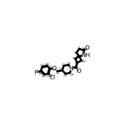 O=C1CCC2(CC(C(=O)N3CCC(COc4ccc(F)cc4Cl)CC3)C2)N1